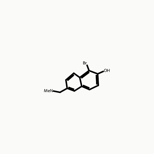 CNCc1ccc2c(Br)c(O)ccc2c1